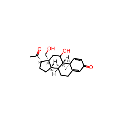 CC(=O)[C@H]1CC[C@H]2[C@@H]3CCC4=CC(=O)C=C[C@]4(C)[C@H]3C(O)C[C@]12CO